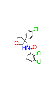 O=C(NCC1(c2ccc(Cl)cc2)CCOCC1)c1cccc(Cl)c1Cl